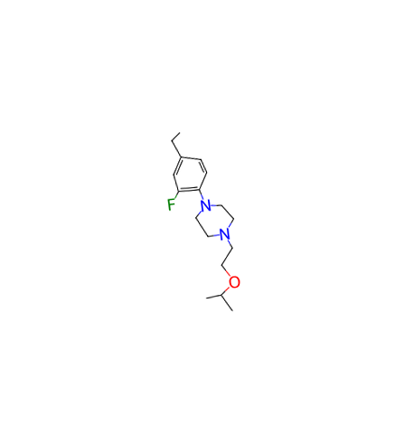 CCc1ccc(N2CCN(CCOC(C)C)CC2)c(F)c1